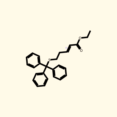 CCOC(=O)/C=C/CCSC(c1ccccc1)(c1ccccc1)c1ccccc1